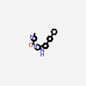 Cc1ccc(C(=O)N2CCc3[nH]c4ccc(-c5ccc(C6CCCCC6)cc5)cc4c3C2)cn1